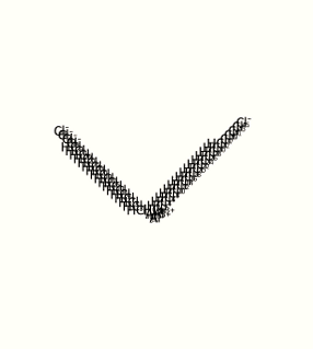 Cl.Cl.Cl.Cl.Cl.Cl.Cl.Cl.Cl.Cl.Cl.Cl.Cl.Cl.Cl.Cl.Cl.Cl.Cl.Cl.Cl.Cl.Cl.Cl.Cl.Cl.Cl.Cl.Cl.Cl.Cl.Cl.Cl.Cl.[Al+3].[Al+3].[Al+3].[Cl-].[Cl-].[Cl-].[Cl-].[Cl-].[Cl-].[Cl-].[Cl-].[Cl-]